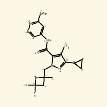 CSc1cc(NC(=O)c2c(C(F)(F)F)c(C3CC3)nn2CC2(C)CC(F)(F)C2)cnn1